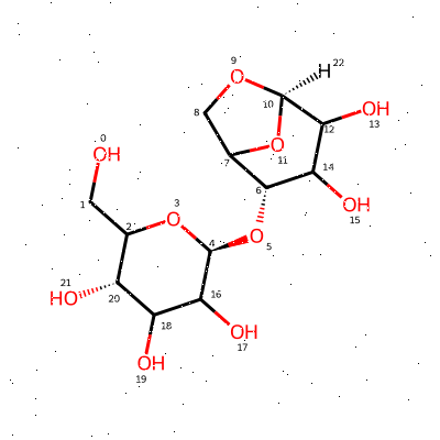 OCC1O[C@@H](O[C@@H]2C3CO[C@H](O3)C(O)C2O)C(O)C(O)[C@@H]1O